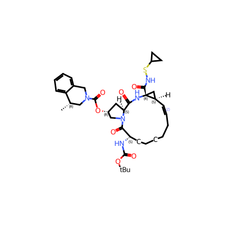 C[C@H]1CN(C(=O)O[C@@H]2C[C@H]3C(=O)N[C@]4(C(=O)NSC5CC5)C[C@H]4/C=C\CCCCC[C@H](NC(=O)OC(C)(C)C)C(=O)N3C2)Cc2ccccc21